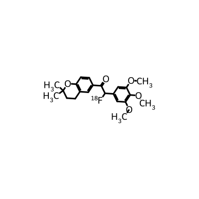 COc1cc(C([18F])C(=O)c2ccc3c(c2)CCC(C)(C)O3)cc(OC)c1OC